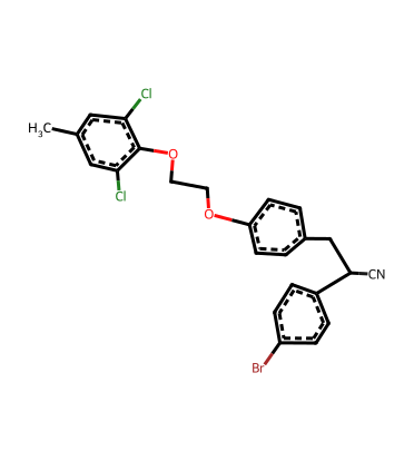 Cc1cc(Cl)c(OCCOc2ccc(CC(C#N)c3ccc(Br)cc3)cc2)c(Cl)c1